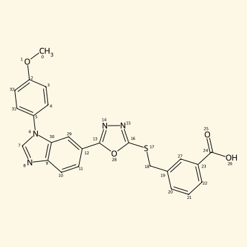 COc1ccc(-n2cnc3ccc(-c4nnc(SCc5cccc(C(=O)O)c5)o4)cc32)cc1